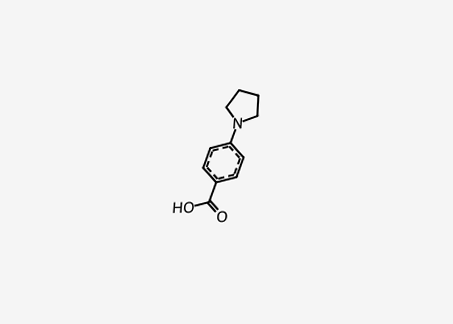 O=C(O)c1ccc(N2CCCC2)cc1